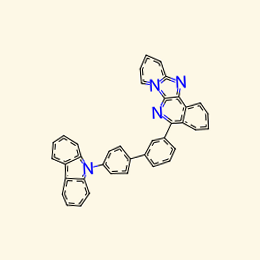 c1cc(-c2ccc(-n3c4ccccc4c4ccccc43)cc2)cc(-c2nc3c(nc4ccccn43)c3ccccc23)c1